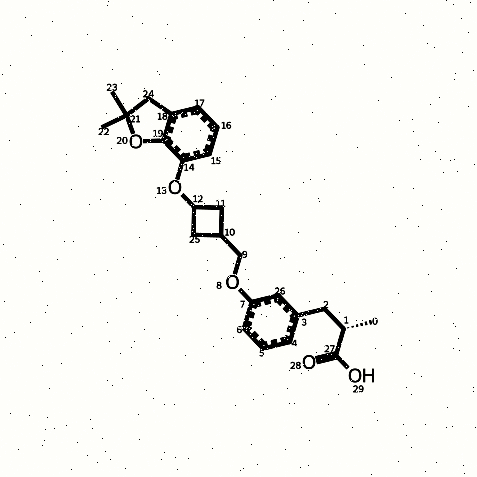 C[C@@H](Cc1cccc(OCC2CC(Oc3cccc4c3OC(C)(C)C4)C2)c1)C(=O)O